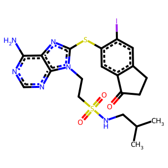 CC(C)CNS(=O)(=O)CCn1c(Sc2cc3c(cc2I)CCC3=O)nc2c(N)ncnc21